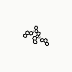 c1ccc2c(c1)ccc1cc(-n3c4ccc5c6ccccc6n(-c6ccc7c(ccc8ccccc87)c6)c5c4c4ccc5ccccc5c43)ccc12